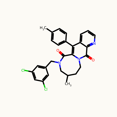 Cc1ccc(-c2c3n(c(=O)c4ncccc24)CCC(C)CN(Cc2cc(Cl)cc(Cl)c2)C3=O)cc1